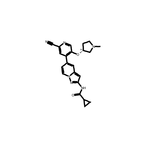 CN1CC[C@@H](Oc2cnc(C#N)cc2-c2ccn3nc(NC(=O)C4CC4)cc3c2)C1